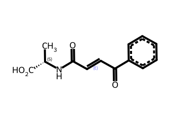 C[C@H](NC(=O)/C=C/C(=O)c1ccccc1)C(=O)O